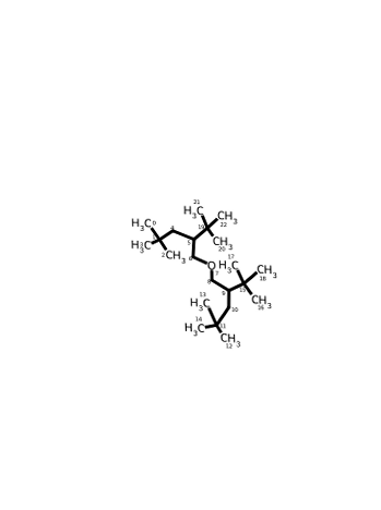 CC(C)(C)CC(COCC(CC(C)(C)C)C(C)(C)C)C(C)(C)C